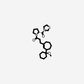 COC1(C2C=C(CCC(=O)N3CCC[C@@H]3C(=O)N3CCSC3)CCCC2)CCCCC1